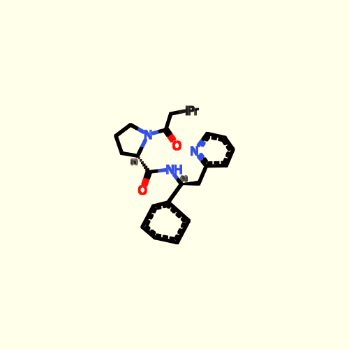 CC(C)CC(=O)N1CCC[C@H]1C(=O)N[C@@H](Cc1ccccn1)c1ccccc1